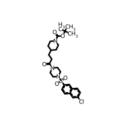 CC(C)(C)OC(=O)N1CCC(CCC(=O)N2CCN(S(=O)(=O)c3ccc4cc(Cl)ccc4c3)CC2)CC1